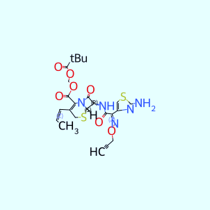 C#CCO/N=C(\C(=O)N[C@@H]1C(=O)N2C(C(=O)OCOC(=O)C(C)(C)C)=C(/C=C\C)CS[C@@H]12)c1csc(N)n1